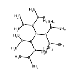 BBB(B(B)B)B(B(B)B)B(B(B(B)B)B(B)B)B(B(B)B)B(B)B